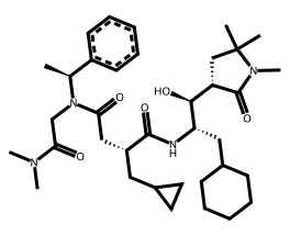 C[C@@H](c1ccccc1)N(CC(=O)N(C)C)C(=O)C[C@@H](CC1CC1)C(=O)N[C@@H](CC1CCCCC1)[C@@H](O)[C@@H]1CC(C)(C)N(C)C1=O